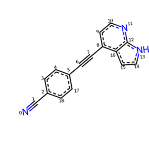 N#Cc1ccc(C#Cc2ccnc3[nH]ccc23)cc1